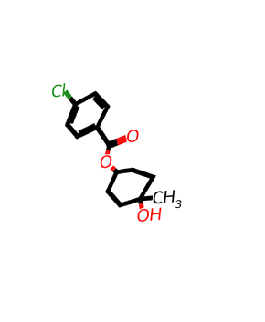 CC1(O)CCC(OC(=O)c2ccc(Cl)cc2)CC1